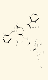 CSCC[C@H](N)C(=O)N1CCC[C@H]1C(=O)N[C@@H](CC(C)C)C(=O)N[C@@H](Cc1c[nH]c2ccccc12)C(=O)NCc1ccccc1